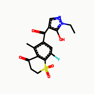 CCn1ncc(C(=O)c2cc(F)c3c(c2C)C(=O)CCS3(=O)=O)c1O